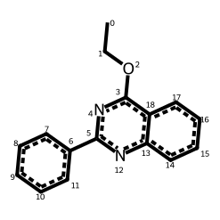 CCOc1nc(-c2ccccc2)nc2ccccc12